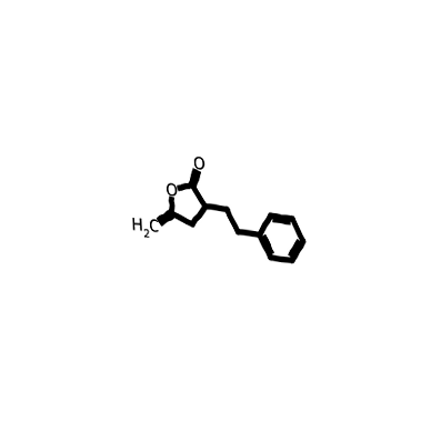 C=C1CC(CCc2ccccc2)C(=O)O1